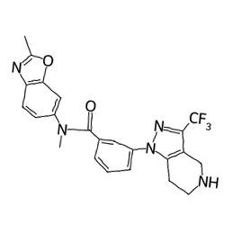 Cc1nc2ccc(N(C)C(=O)c3cccc(-n4nc(C(F)(F)F)c5c4CCNC5)c3)cc2o1